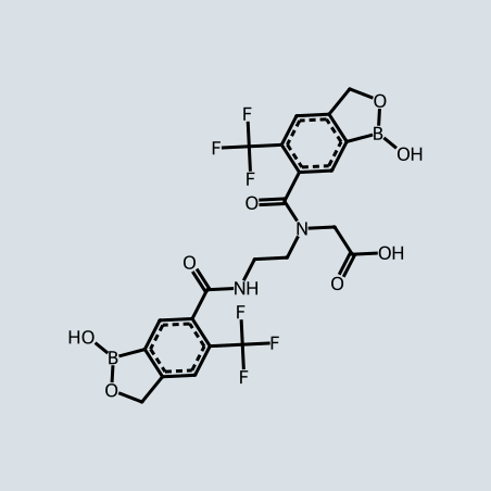 O=C(O)CN(CCNC(=O)c1cc2c(cc1C(F)(F)F)COB2O)C(=O)c1cc2c(cc1C(F)(F)F)COB2O